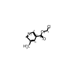 Cc1cncc(C(=O)OCCl)c1